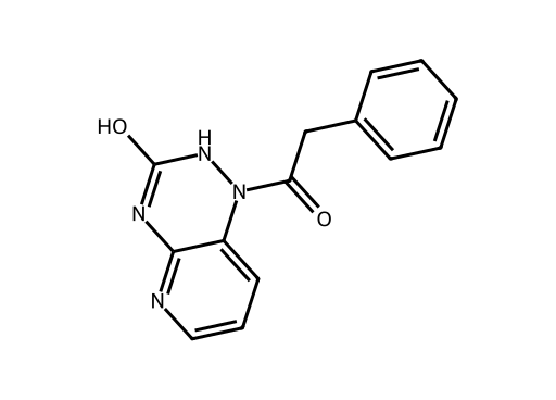 O=C(Cc1ccccc1)N1NC(O)=Nc2ncccc21